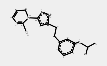 CC(C)Oc1cccc(CCc2cc(N3CC=CN=C3Cl)n[nH]2)c1